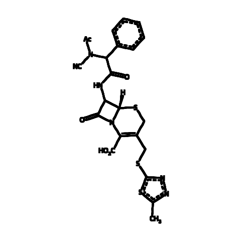 CC(=O)N(C#N)C(C(=O)NC1C(=O)N2C(C(=O)O)=C(CSc3nnc(C)s3)CS[C@@H]12)c1ccccc1